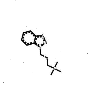 C[N+](C)(C)CCCn1nnc2ccccc21